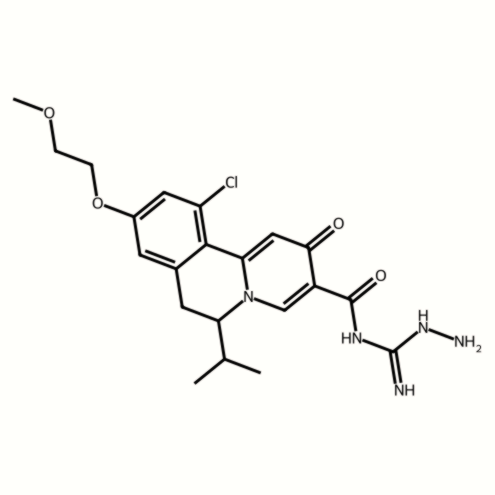 COCCOc1cc(Cl)c2c(c1)CC(C(C)C)n1cc(C(=O)NC(=N)NN)c(=O)cc1-2